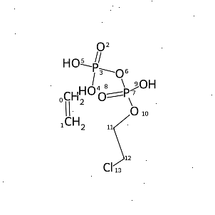 C=C.O=P(O)(O)OP(=O)(O)OCCCl